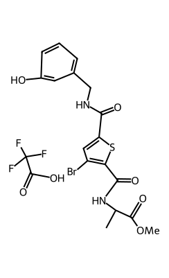 COC(=O)C(C)NC(=O)c1sc(C(=O)NCc2cccc(O)c2)cc1Br.O=C(O)C(F)(F)F